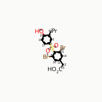 CC(C)c1cc(S(=O)(=O)c2c(Br)cc(CC(=O)O)cc2Br)ccc1O